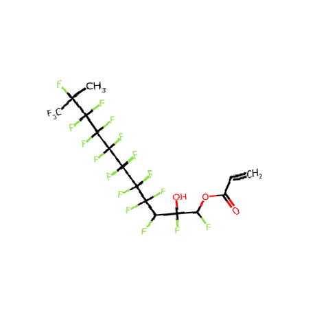 C=CC(=O)OC(F)C(O)(F)C(F)C(F)(F)C(F)(F)C(F)(F)C(F)(F)C(F)(F)C(F)(F)C(C)(F)C(F)(F)F